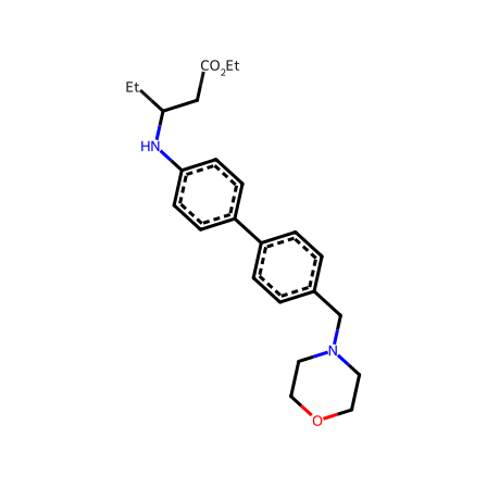 CCOC(=O)CC(CC)Nc1ccc(-c2ccc(CN3CCOCC3)cc2)cc1